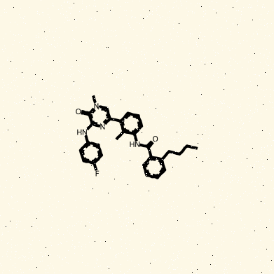 CCCCc1ccccc1C(=O)Nc1cccc(-c2cn(C)c(=O)c(Nc3ccc(F)cc3)n2)c1C